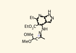 CCOC(=O)c1c(CC)nc2[nH]ncc2c1N/N=C(\C)CC(OC)OC